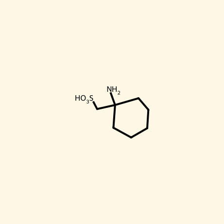 NC1(CS(=O)(=O)O)CCCCC1